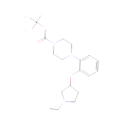 CCN1CCC(Oc2ccccc2N2CCN(C(=O)OC(C)(C)C)CC2)C1